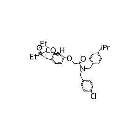 CCO[C@@](CC)(Cc1ccc(OCC(=O)N(Cc2ccc(Cl)cc2)Cc2ccc(C(C)C)cc2)cc1)C(=O)O